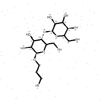 OCC1O[C@@H](OCCCS)C(O)C(O)[C@@H]1O[C@@H]1OC(CS)[C@H](O)C(O)[C@@H]1O